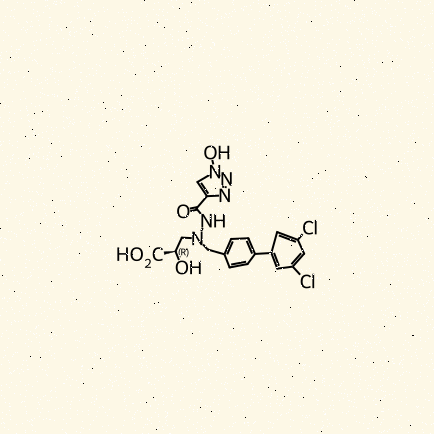 O=C(NN(Cc1ccc(-c2cc(Cl)cc(Cl)c2)cc1)C[C@@H](O)C(=O)O)c1cn(O)nn1